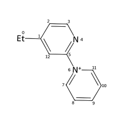 CCc1ccnc(-[n+]2ccccc2)c1